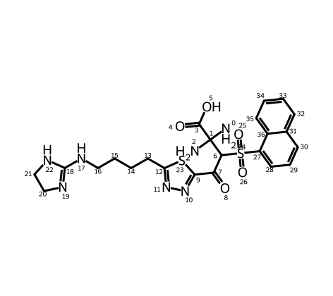 NC(N)(C(=O)O)C(C(=O)c1nnc(CCCCNC2=NCCN2)s1)S(=O)(=O)c1cccc2ccccc12